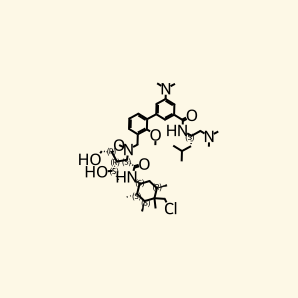 COc1c(CN2O[C@@H](CO)[C@@H]([C@H](C)O)[C@H]2C(=O)N[C@H]2C[C@@H](C)C(C)(CCl)[C@@H](C)[C@@H]2C)cccc1-c1cc(C(=O)N[C@@H](CC(C)C)CN(C)C)cc(N(C)C)c1